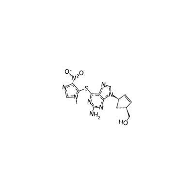 Cn1cnc([N+](=O)[O-])c1Sc1nc(N)nc2c1ncn2[C@H]1C=C[C@@H](CO)C1